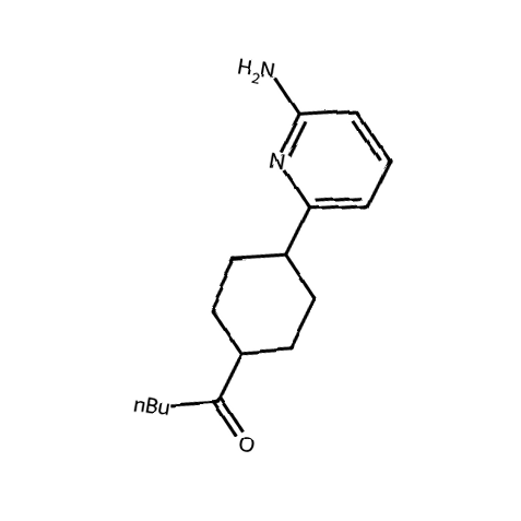 CCCCC(=O)C1CCC(c2cccc(N)n2)CC1